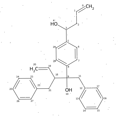 C=CCC(O)c1ccc(C(O)(Cc2ccccc2)C(C=C)Cc2ccccc2)cc1